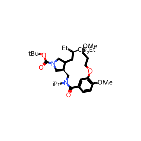 CCOC(=O)[C@H](CC)CC1CN(C(=O)OC(C)(C)C)C[C@@H]1CN(C(=O)c1ccc(OC)c(OCCCOC)c1)C(C)C